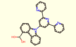 OB(O)c1cccc2c1c1ccccc1n2-c1cc(-c2ccccn2)nc(-c2ccccn2)c1